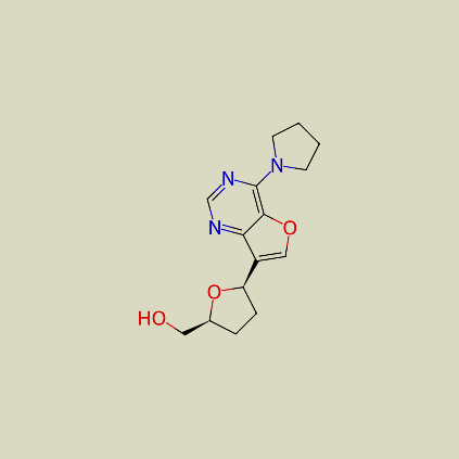 OC[C@@H]1CC[C@H](c2coc3c(N4CCCC4)ncnc23)O1